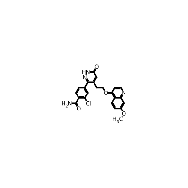 COc1ccc2c(OCCc3cc(=O)[nH]nc3-c3ccc(C(N)=O)c(Cl)c3)ccnc2c1